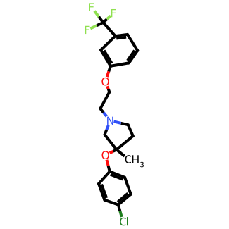 CC1(Oc2ccc(Cl)cc2)CCN(CCOc2cccc(C(F)(F)F)c2)C1